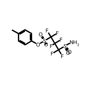 Cc1ccc(OS(=O)(=O)C(F)(F)C(F)(F)C(F)(F)S(N)(=O)=O)cc1